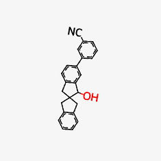 N#Cc1cccc(-c2ccc3c(c2)C(O)C2(Cc4ccccc4C2)C3)c1